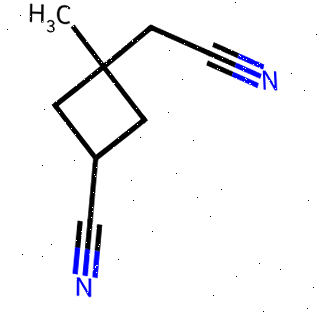 CC1(CC#N)CC(C#N)C1